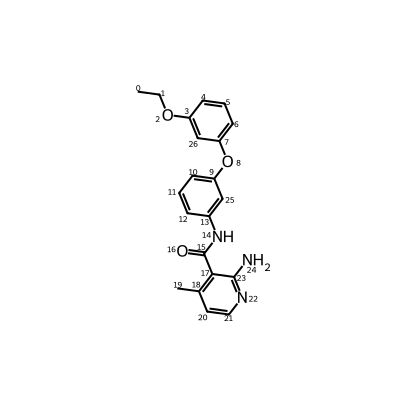 CCOc1cccc(Oc2cccc(NC(=O)c3c(C)ccnc3N)c2)c1